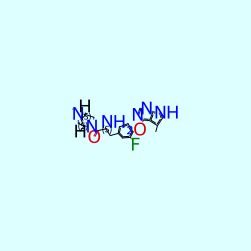 Cc1c[nH]c2ncnc(Oc3ccc(C[C@H](N)C(=O)N4C[C@@H]5C[C@H]4CN5C)cc3F)c12